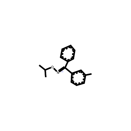 Cc1cccc(/C(=N/OC(C)C)c2ccccc2)c1